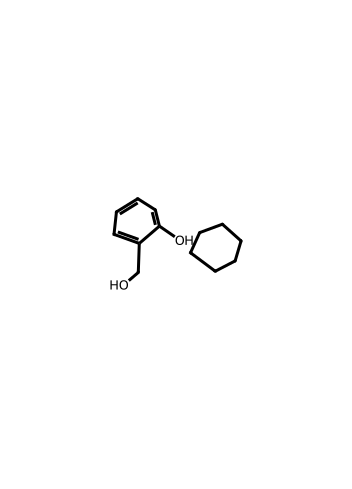 C1CCCCC1.OCc1ccccc1O